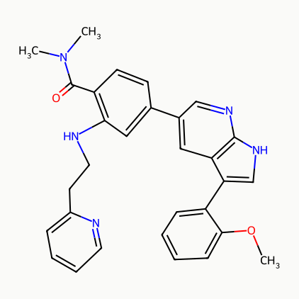 COc1ccccc1-c1c[nH]c2ncc(-c3ccc(C(=O)N(C)C)c(NCCc4ccccn4)c3)cc12